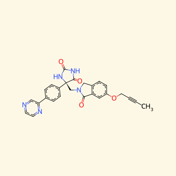 CC#CCOc1ccc2c(c1)C(=O)N(C[C@@]1(c3ccc(-c4cnccn4)cc3)NC(=O)NC1=O)C2